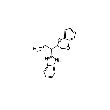 C=CC(c1nc2ccccc2[nH]1)C1COc2ccccc2O1